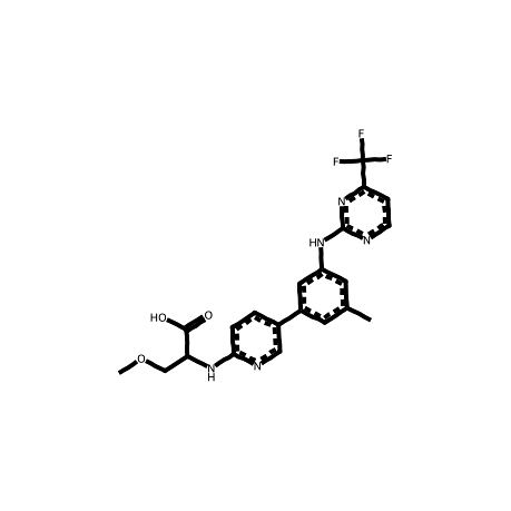 COCC(Nc1ccc(-c2cc(C)cc(Nc3nccc(C(F)(F)F)n3)c2)cn1)C(=O)O